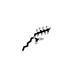 CCCCCCN(CC(F)(F)C(F)(F)C(F)(F)C(F)(F)F)C(=O)O